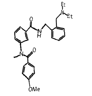 CCN(CC)Cc1ccccc1CNC(=O)c1cccc(N(C)C(=O)c2ccc(OC)cc2)c1